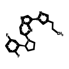 CCCc1cnn(-c2cnn3ccc(N4CCC[C@H]4c4cc(F)ccc4F)nc23)c1